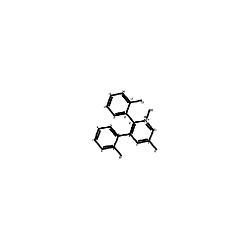 Cc1cc(-c2ccccc2C)c(-c2ccccc2C)[n+](C)c1